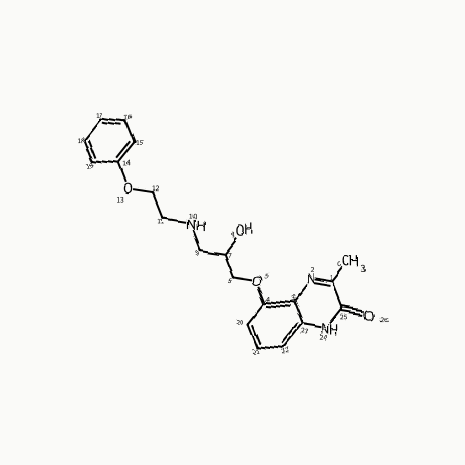 Cc1nc2c(OCC(O)CNCCOc3ccccc3)cccc2[nH]c1=O